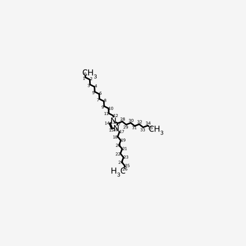 CCCCCCCCCCCCCN1C=CN(CCCCCCCCCC)C1CCCCCCCC